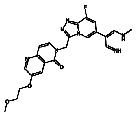 CN/C=C(\C=N)c1cc(F)c2nnc(Cn3ccc4ncc(OCCOC)cc4c3=O)n2c1